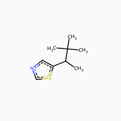 CC(c1cncs1)C(C)(C)C